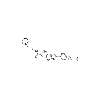 O=C(NCCCN1CCCCC1)c1cc2sc3nc(-c4ccc(CNC5CC5)cc4)cn3c2cn1